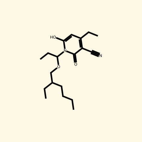 CCCCC(CC)COC(CC)n1c(O)cc(CC)c(C#N)c1=O